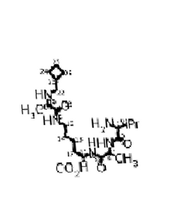 CC(C)C(N)C(=O)N[C@@H](C)C(=O)N[C@@H](CCCCNC(=O)[C@H](C)NCC1CCC1)C(=O)O